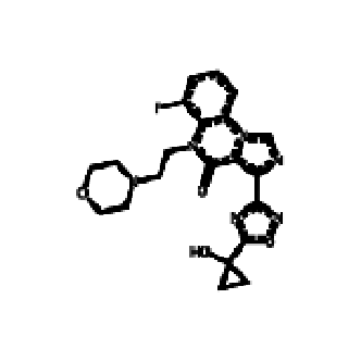 O=c1c2c(-c3noc(C4(O)CC4)n3)ncn2c2cccc(F)c2n1CCN1CCOCC1